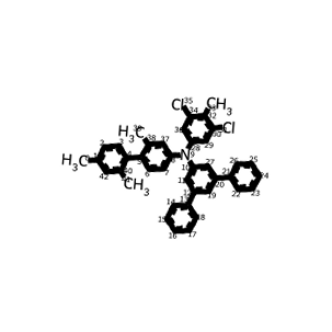 Cc1ccc(-c2ccc(N(c3cc(-c4ccccc4)cc(-c4ccccc4)c3)c3cc(Cl)c(C)c(Cl)c3)cc2C)c(C)c1